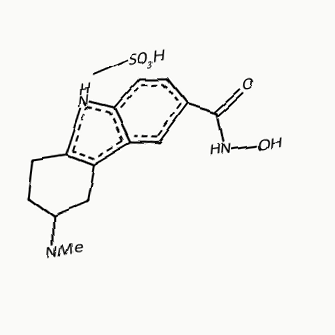 CNC1CCc2[nH]c3ccc(C(=O)NO)cc3c2C1.CS(=O)(=O)O